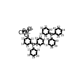 [Cl-].[Cl-].[Cl][Pd+2][Cl].c1ccc(P(c2ccccc2)c2ccccc2)cc1.c1ccc(P(c2ccccc2)c2ccccc2)cc1